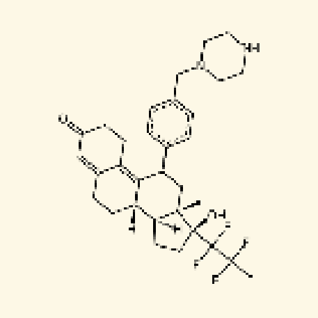 C[C@]12C[C@H](c3ccc(CN4CCNCC4)cc3)C3=C4CCC(=O)C=C4CC[C@H]3[C@@H]1CC[C@@]2(O)C(F)(F)C(F)(F)F